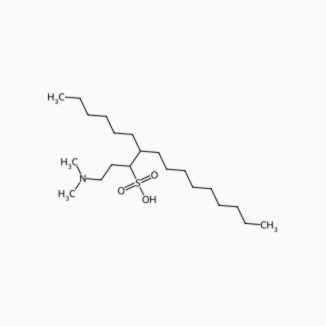 CCCCCCCCCC(CCCCCC)C(CCN(C)C)S(=O)(=O)O